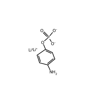 Nc1ccc(OP(=O)([O-])[O-])cc1.[Li+].[Li+]